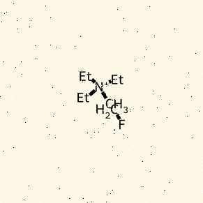 CC[N+](C)(CC)CC.[CH2]F